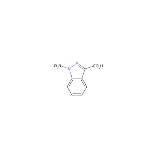 O=C(O)c1nn([N+](=O)[O-])c2ccccc12